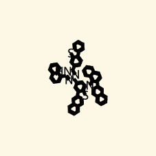 c1ccc2cc3c(cc2c1)sc1c(-n2c4cc5ccccc5cc4c4ccc5ccccc5c42)cc(C2=NC(c4ccc5c(c4)sc4ccccc45)NC(c4cccc5ccccc45)=N2)cc13